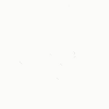 Cc1cccc(-c2ccc3c(c2)c2ccccc2n3-c2cc(C#N)ccc2-c2nc(-c3ccccc3)cc(-c3ccccc3)n2)c1